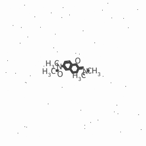 CC(=O)N(C)c1ccc2c(c1)CCC(=CN(C)C)C2=O